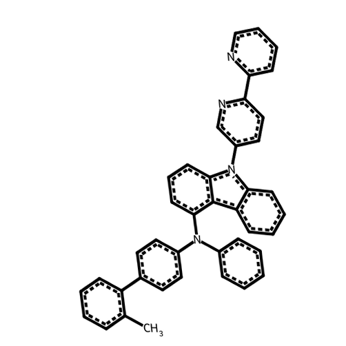 Cc1ccccc1-c1ccc(N(c2ccccc2)c2cccc3c2c2ccccc2n3-c2ccc(-c3ccccn3)nc2)cc1